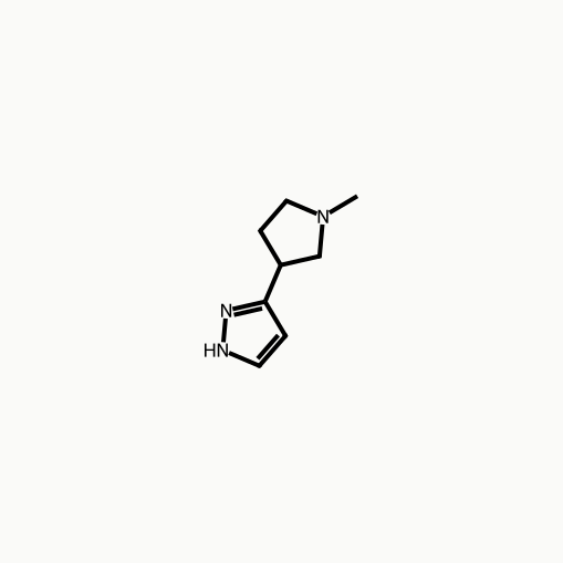 CN1CCC(c2cc[nH]n2)C1